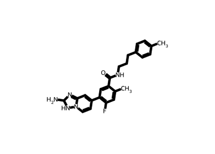 Cc1ccc(CCCNC(=O)c2cc(C3=CC4=NC(N)NN4C=C3)c(F)cc2C)cc1